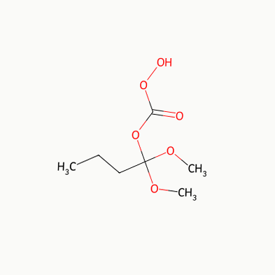 CCCC(OC)(OC)OC(=O)OO